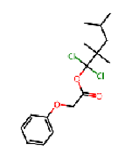 CC(C)CC(C)(C)C(Cl)(Cl)OC(=O)COc1ccccc1